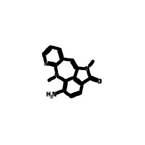 CN1C(=O)c2ccc(N)c3c2C1=Cc1cccnc1N3C